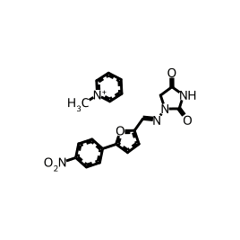 C[n+]1ccccc1.O=C1CN(N=Cc2ccc(-c3ccc([N+](=O)[O-])cc3)o2)C(=O)N1